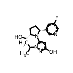 CC(C)n1nc(O)cc1N1[C@H](CO)CC[C@@H]1c1cncc(F)c1